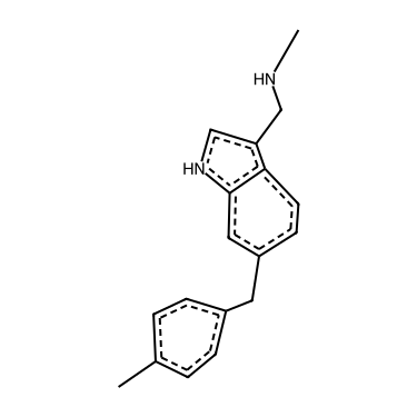 CNCc1c[nH]c2cc(Cc3ccc(C)cc3)ccc12